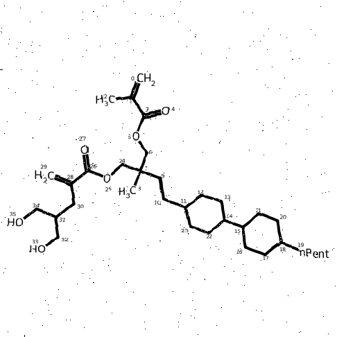 C=C(C)C(=O)OCC(C)(CCC1CCC(C2CCC(CCCCC)CC2)CC1)COC(=O)C(=C)CC(CO)CO